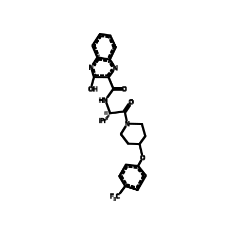 CC(C)[C@H](NC(=O)c1nc2ccccc2nc1O)C(=O)N1CCC(Oc2ccc(C(F)(F)F)cc2)CC1